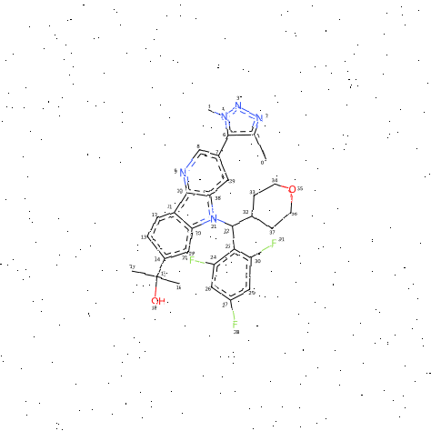 Cc1nnn(C)c1-c1cnc2c3ccc(C(C)(C)O)cc3n(C(c3c(F)cc(F)cc3F)C3CCOCC3)c2c1